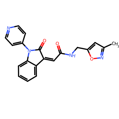 Cc1cc(CNC(=O)C=C2C(=O)N(c3ccncc3)c3ccccc32)on1